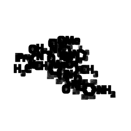 CC[C@H](C)[C@@H]([C@@H](CC(=O)N1CCC[C@H]1[C@H](OC)[C@@H](C)C(=O)N[C@@H](Cc1ccccc1)C(=O)NCc1ccc(N)cc1)OC)N(C)C(=O)CNC(=O)[C@H](C(C)C)N(C)C